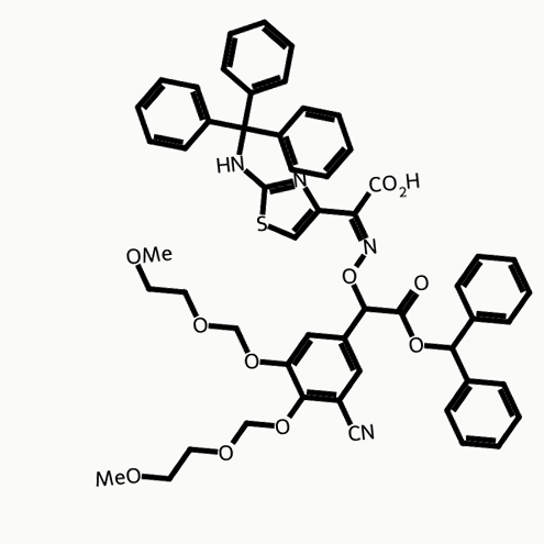 COCCOCOc1cc(C(ON=C(C(=O)O)c2csc(NC(c3ccccc3)(c3ccccc3)c3ccccc3)n2)C(=O)OC(c2ccccc2)c2ccccc2)cc(C#N)c1OCOCCOC